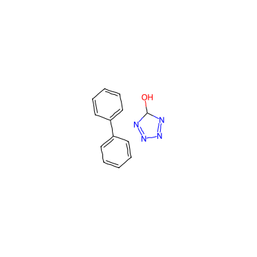 OC1N=NN=N1.c1ccc(-c2ccccc2)cc1